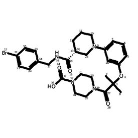 CC(C)(Oc1cccc(N2CCC[C@@H](C(=O)NCc3ccc(Br)cc3)C2)c1)C(=O)N1CCN(C(=O)O)CC1